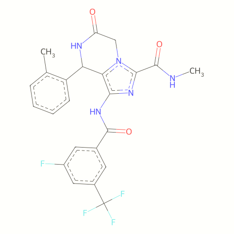 CNC(=O)c1nc(NC(=O)c2cc(F)cc(C(F)(F)F)c2)c2n1CC(=O)NC2c1ccccc1C